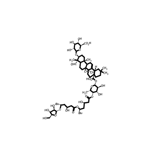 CC[C@H](C)C(C[C@H](O)CC(=O)O[C@H]1[C@@H](O)[C@H](O)[C@@H](OC(=O)[C@]23CCC(C)(C)C[C@H]2C2=CCC4[C@@]5(C)CC[C@H](OC6O[C@H](C(=O)O)[C@@H](O)[C@H](O)[C@H]6O)[C@@](C)(C=O)C5CC[C@@]4(C)[C@]2(C)C[C@H]3O)O[C@H]1C)OC(=O)C[C@@H](O)CC(O[C@@H]1O[C@@H](CO)[C@H](O)[C@H]1O)[C@@H](C)CC